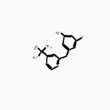 Cc1cc(F)cc(Cc2cc(C(C)(C)C)ccn2)c1